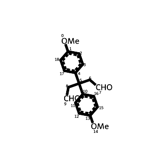 COc1ccc(C(CC=O)(CC=O)c2ccc(OC)cc2)cc1